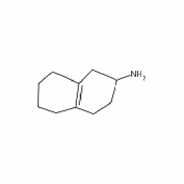 NC1CCC2=C(CCCC2)C1